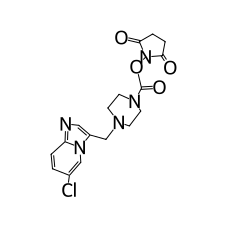 O=C(ON1C(=O)CCC1=O)N1CCN(Cc2cnc3ccc(Cl)cn23)CC1